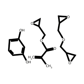 C(OCC1CO1)C1CO1.C=C(C)C(=O)OCC1CO1.Oc1cccc(O)c1